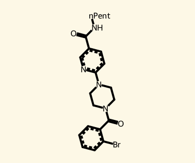 CCCCCNC(=O)c1ccc(N2CCN(C(=O)c3ccccc3Br)CC2)nc1